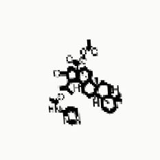 CC(=O)Nc1ccncn1.CC(=O)OOC(=O)[C@@]12CC[C@]3(C)[C@H](CC[C@@H]4[C@@]5(C)CCCC(C)(C)[C@@H]5CC[C@]43C)C1=C(C(C)C)C(=O)C2